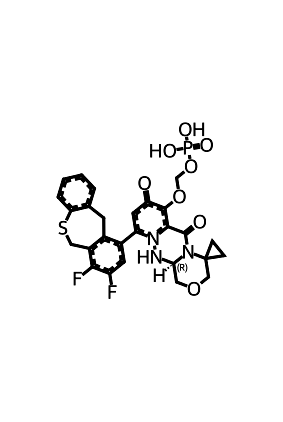 O=C1c2c(OCOP(=O)(O)O)c(=O)cc(-c3cc(F)c(F)c4c3Cc3ccccc3SC4)n2N[C@@H]2COCC3(CC3)N12